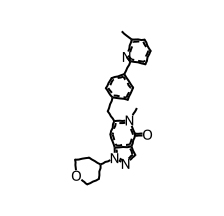 Cc1cccc(-c2ccc(Cc3cc4c(cnn4C4CCOCC4)c(=O)n3C)cc2)n1